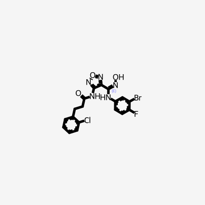 O=C(CCc1ccccc1Cl)Nc1nonc1/C(=N\O)Nc1ccc(F)c(Br)c1